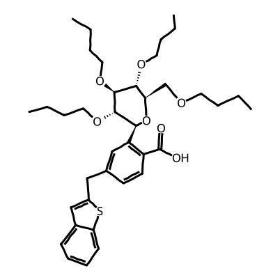 CCCCOC[C@H]1O[C@@H](c2cc(Cc3cc4ccccc4s3)ccc2C(=O)O)[C@H](OCCCC)[C@@H](OCCCC)[C@@H]1OCCCC